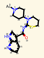 CC(=O)N1CCC(N2CCCS/C2=N\C(=O)c2c[nH]c3ncccc23)CC1